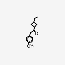 CCC1CC(C(=O)Cc2ccc(O)cc2)C1